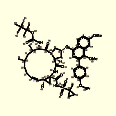 COc1ccc2c(O[C@@H]3C[C@H]4C(=O)N[C@]5(C(=O)NS(=O)(=O)C6(C)CC6)C[C@H]5/C=C\CC[C@@H](C)C[C@@H](C)[C@H](NC(=O)OC(C)(C)C(C)(F)F)C(=O)N4C3)nc(-c3ccc(OC(C)C)cc3)c(OC)c2c1